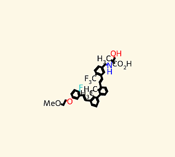 COCCOc1ccc(F)c(/C=C/c2cccc(-c3cccc(/C=C/c4cc(CNC(C)(CO)C(=O)O)ccc4C(F)(F)F)c3C)c2C)c1